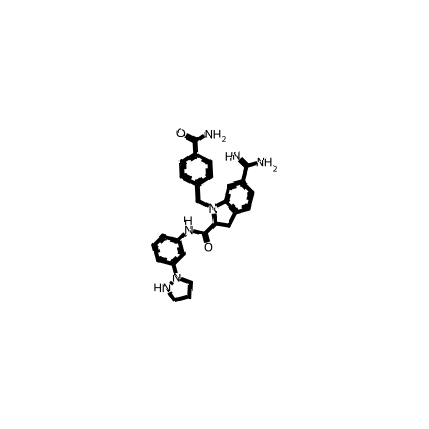 N=C(N)c1ccc2c(c1)N(Cc1ccc(C(N)=O)cc1)C(C(=O)Nc1cccc(N3CCCN3)c1)C2